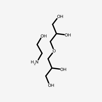 NCCO.OCC(O)COCC(O)CO